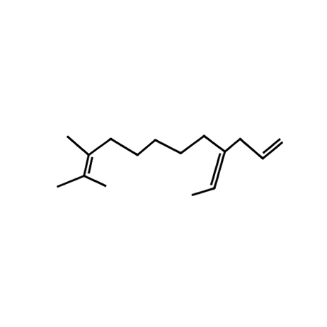 C=CCC(=CC)CCCCCC(C)=C(C)C